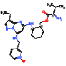 CCc1cnn2c(NCc3ccc[n+]([O-])c3)cc(N[C@H]3CCCC[C@H]3COC(=O)[C@H](N)C(C)C)nc12